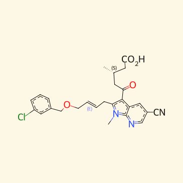 C[C@H](CC(=O)O)CC(=O)c1c(C/C=C/COCc2cccc(Cl)c2)n(C)c2ncc(C#N)cc12